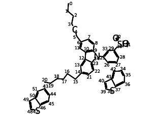 CCCCCCc1ccc2c(c1)c1cc(CCCCCC)ccc1n2-c1cccc([SH](=O)=O)c1.c1ccc2sccc2c1.c1ccc2sccc2c1